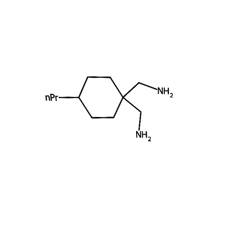 CCCC1CCC(CN)(CN)CC1